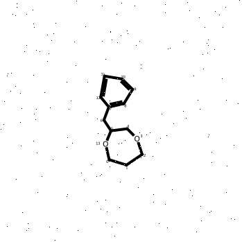 [CH]1CCOCC(Cc2ccccc2)O1